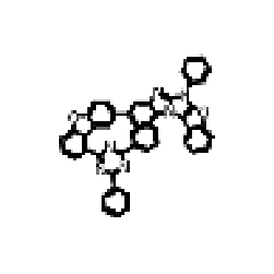 c1ccc(-c2nc(-c3ccccc3)nc(-c3cccc4oc5ccc(-c6ccc7c(c6)nc6n(-c8ccccc8)c8oc9ccccc9c8n76)cc5c34)n2)cc1